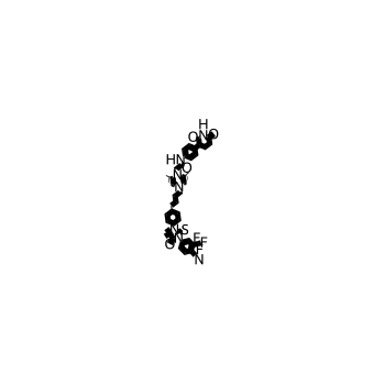 C[C@@H]1CN(CCCC[C@H]2CC[C@H](N3C(=S)N(c4ccc(C#N)c(C(F)(F)F)c4)C(=O)C3(C)C)CC2)C[C@H](C)N1CC(=O)Nc1ccc(C2CCC(=O)NC2=O)cc1